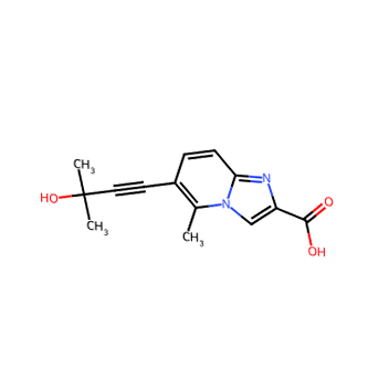 Cc1c(C#CC(C)(C)O)ccc2nc(C(=O)O)cn12